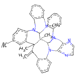 C=C1c2ccccc2N2c3nccnc3N(c3ccccc3)C2C2(C)C3N(C)c4ccccc4N3c3ccc(C#N)cc3C12C